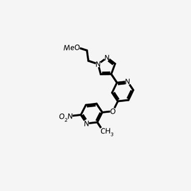 COCCn1cc(-c2cc(Oc3ccc([N+](=O)[O-])nc3C)ccn2)cn1